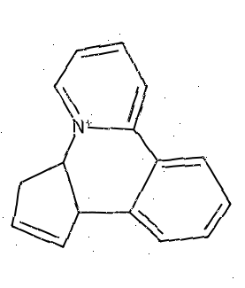 C1=CC2c3ccccc3-c3cccc[n+]3C2C1